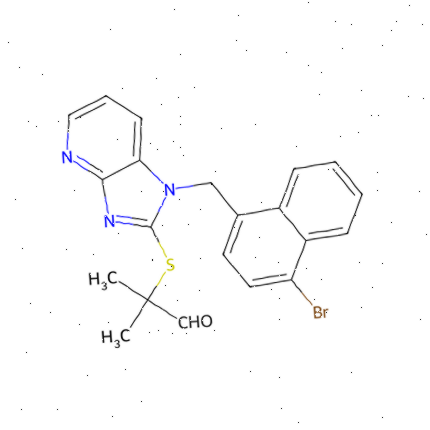 CC(C)(C=O)Sc1nc2ncccc2n1Cc1ccc(Br)c2ccccc12